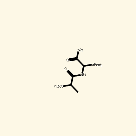 CCCCCCCCC(C)C(=O)NC(CCCCC)C(=O)CCC